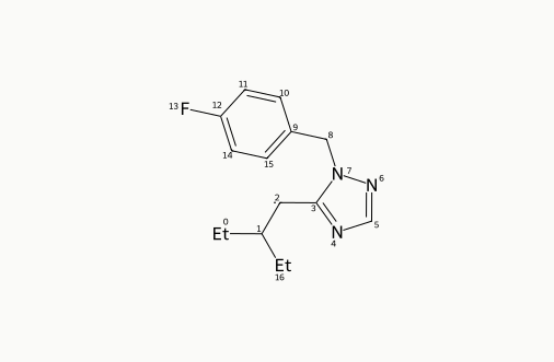 CCC([CH]c1ncnn1Cc1ccc(F)cc1)CC